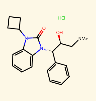 CNC[C@H](O)[C@H](c1ccccc1)n1c(=O)n(C2CCC2)c2ccccc21.Cl